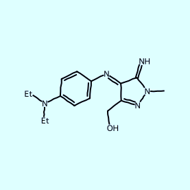 CCN(CC)c1ccc(N=C2C(=N)N(C)N=C2CO)cc1